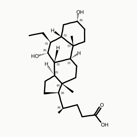 CC[C@@H]1[C@@H](O)[C@@H]2[C@H](CC[C@]3(C)[C@@H]([C@H](C)CCC(=O)O)CC[C@@H]23)[C@@]2(C)CC[C@@H](O)C[C@@H]12